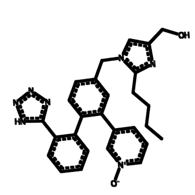 CCCCc1nc(CO)cn1Cc1ccc(-c2ccccc2-c2nnn[nH]2)c(-c2ccc[n+]([O-])c2)c1